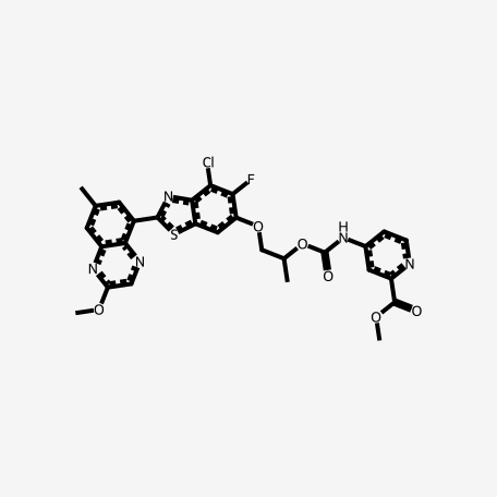 COC(=O)c1cc(NC(=O)OC(C)COc2cc3sc(-c4cc(C)cc5nc(OC)cnc45)nc3c(Cl)c2F)ccn1